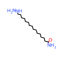 NNCCCCCCCCCCCCCCCC(N)=O